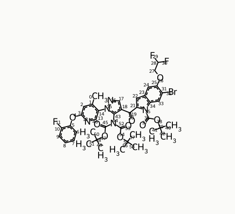 Cc1cc(Oc2ccccc2F)ncc1-n1ncc(C(=O)c2cc3cc(OCC(F)F)c(Br)cc3n2C(=O)OC(C)(C)C)c1N(C(=O)OC(C)(C)C)C(=O)OC(C)(C)C